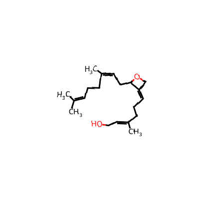 CC(C)=CCCC(C)=CCC1OCC1=CCCC(C)=CCO